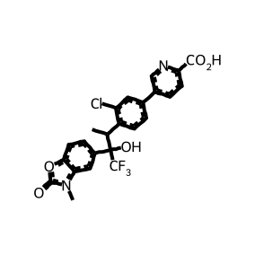 CC(c1ccc(-c2ccc(C(=O)O)nc2)cc1Cl)C(O)(c1ccc2oc(=O)n(C)c2c1)C(F)(F)F